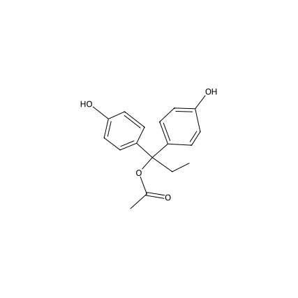 CCC(OC(C)=O)(c1ccc(O)cc1)c1ccc(O)cc1